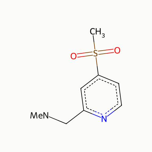 CNCc1cc(S(C)(=O)=O)ccn1